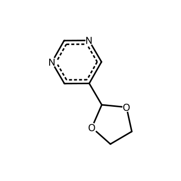 c1ncc(C2OCCO2)cn1